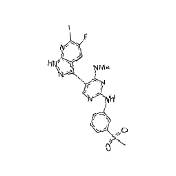 CNc1nc(Nc2cccc(S(C)(=O)=O)c2)ncc1-c1n[nH]c2nc(C)c(F)cc12